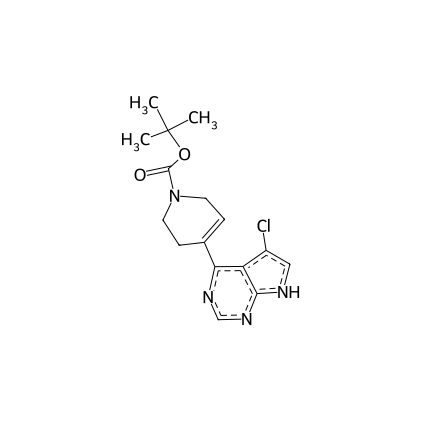 CC(C)(C)OC(=O)N1CC=C(c2ncnc3[nH]cc(Cl)c23)CC1